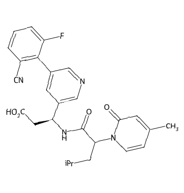 Cc1ccn(C(CC(C)C)C(=O)N[C@@H](CC(=O)O)c2cncc(-c3c(F)cccc3C#N)c2)c(=O)c1